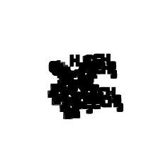 CC(C)(C)c1ccc2c(c1)-c1cc(C(C)(C)C)ccc1[CH]2/[Zr+2]([C]1=CC=CC1)=[C](\Cc1ccccc1)c1ccccc1.[Cl-].[Cl-]